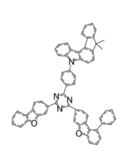 CC1(C)c2ccccc2-c2c1ccc1c2c2ccccc2n1-c1ccc(-c2nc(-c3ccc4c(c3)oc3ccccc34)nc(-c3ccc4c(c3)oc3cccc(-c5ccccc5)c34)n2)cc1